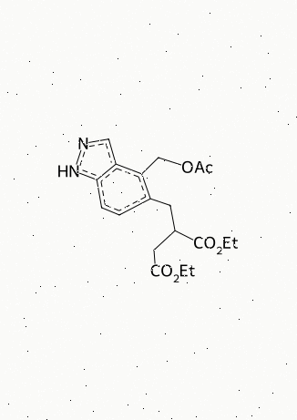 CCOC(=O)CC(Cc1ccc2[nH]ncc2c1COC(C)=O)C(=O)OCC